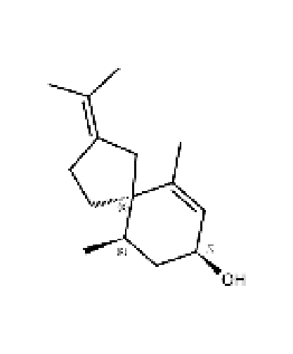 CC1=C[C@@H](O)C[C@@H](C)[C@]12CCC(=C(C)C)C2